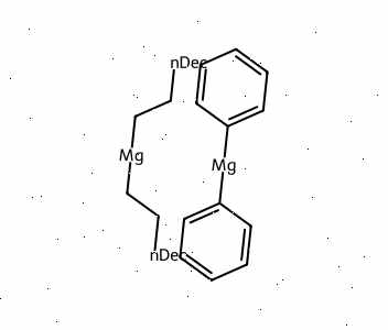 CCCCCCCCCCC[CH2][Mg][CH2]CCCCCCCCCCC.c1cc[c]([Mg][c]2ccccc2)cc1